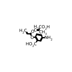 C=C(C)C(=O)O.C=CC(=O)Oc1ccc(N)cc1C(=O)O